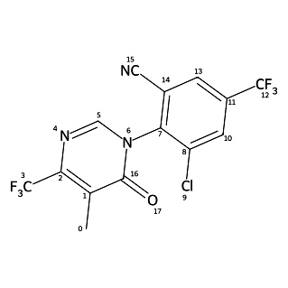 Cc1c(C(F)(F)F)ncn(-c2c(Cl)cc(C(F)(F)F)cc2C#N)c1=O